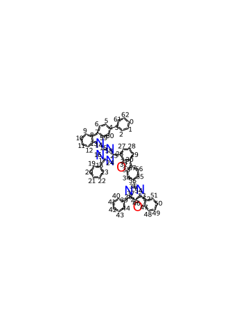 c1ccc(-c2ccc3c4ccccc4n(-c4nc(-c5ccccc5)nc(-c5cccc6c5oc5cc(-c7nc(-c8ccccc8)c8oc9ccccc9c8n7)ccc56)n4)c3c2)cc1